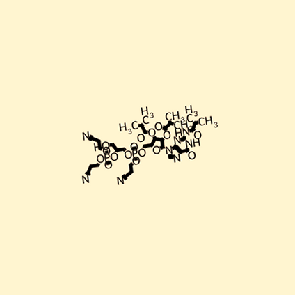 CC(C)C(=O)Nc1nc2c(ncn2[C@@H]2OC(COP(=O)(OCCC#N)OCC(CO)OP(=O)(OCCC#N)OCCC#N)C(OC(=O)C(C)C)C2OC(=O)C(C)C)c(=O)[nH]1